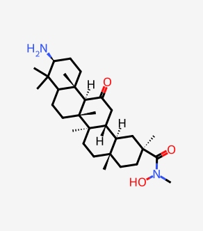 CN(O)C(=O)[C@@]1(C)CC[C@]2(C)CC[C@]3(C)[C@H](CC(=O)[C@@H]4[C@@]5(C)CC[C@H](N)C(C)(C)C5CC[C@]43C)[C@H]2C1